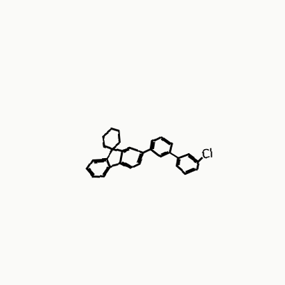 Clc1cccc(-c2cccc(-c3ccc4c(c3)C3(CCCCC3)c3ccccc3-4)c2)c1